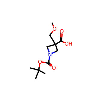 COCC1(C(=O)O)CN(C(=O)OC(C)(C)C)C1